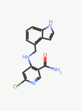 NC(=O)c1cnc(Cl)cc1NCc1cccc2[nH]ccc12